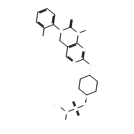 CN1C(=O)N(c2ccccc2Cl)Cc2cnc(N[C@H]3CC[C@H](NS(=O)(=O)N(C)C)CC3)nc21